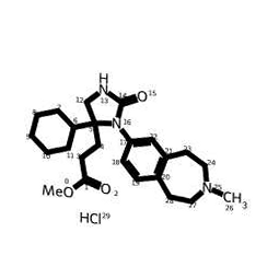 COC(=O)CCC1(C2CCCCC2)CNC(=O)N1c1ccc2c(c1)CCN(C)CC2.Cl